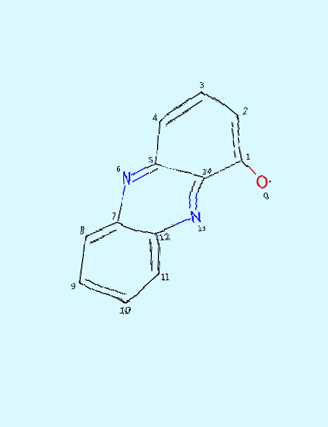 [O]c1cccc2nc3ccccc3nc12